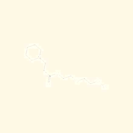 CCOCCOCCOC(=O)CCN1CCCCC1